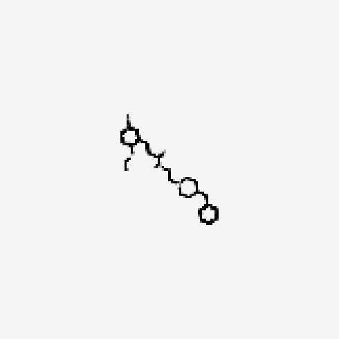 CCOc1ccc(Br)cc1C=CC(=O)NCCN1CCC(Cc2ccccc2)CC1